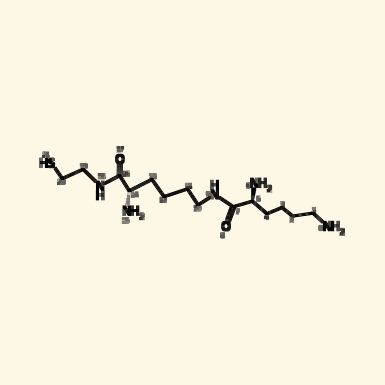 NCCCC[C@H](N)C(=O)NCCCC[C@H](N)C(=O)NCCS